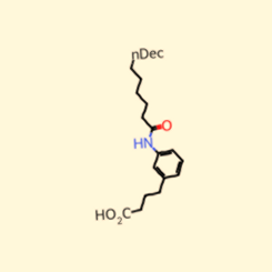 CCCCCCCCCCCCCCCC(=O)Nc1cccc(CCCC(=O)O)c1